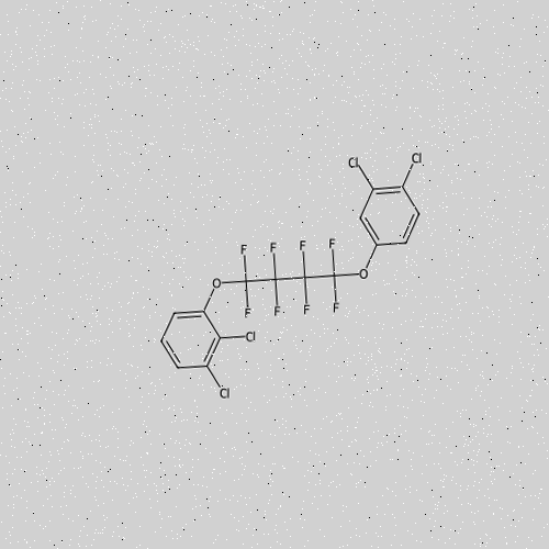 FC(F)(Oc1ccc(Cl)c(Cl)c1)C(F)(F)C(F)(F)C(F)(F)Oc1cccc(Cl)c1Cl